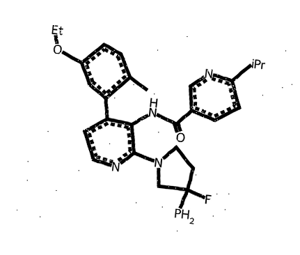 CCOc1ccc(C)c(-c2ccnc(N3CCC(F)(P)C3)c2NC(=O)c2ccc(C(C)C)nc2)c1